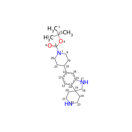 CC(C)(C)OC(=O)N1CCC(c2ccc3c(c2)NCC32CCNCC2)CC1